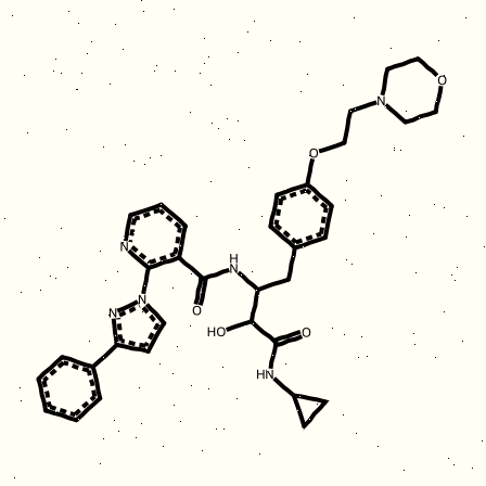 O=C(NC(Cc1ccc(OCCN2CCOCC2)cc1)C(O)C(=O)NC1CC1)c1cccnc1-n1ccc(-c2ccccc2)n1